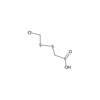 O=C(O)CSSCCl